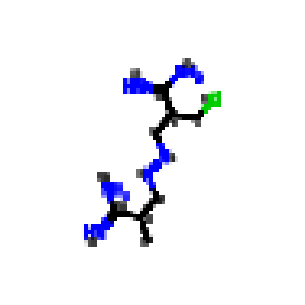 CC(CN=NCC(CCl)C(=N)N)C(=N)N